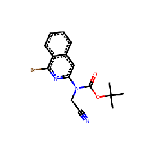 CC(C)(C)OC(=O)N(CC#N)c1cc2ccccc2c(Br)n1